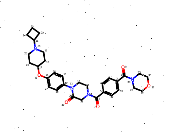 O=C(c1ccc(C(=O)N2CCN(c3ccc(OC4CCN(C5CCC5)CC4)cc3)C(=O)C2)cc1)N1CCOCC1